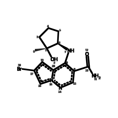 C[C@]1(O)CCC[C@H]1Nc1c(C(N)=O)cnn2cc(Br)cc12